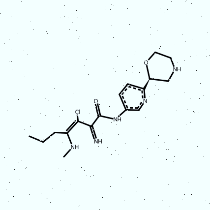 CCC/C(NC)=C(\Cl)C(=N)C(=O)Nc1ccc([C@@H]2CNCCO2)nc1